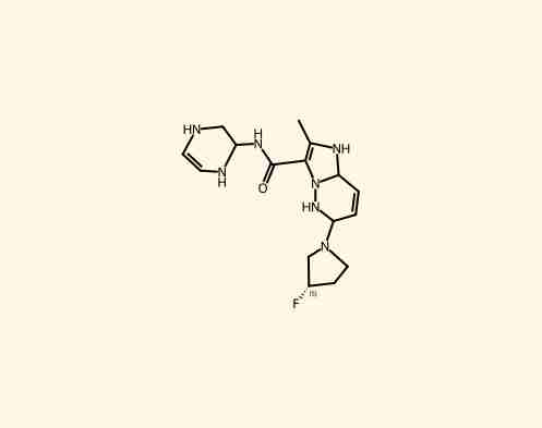 CC1=C(C(=O)NC2CNC=CN2)N2NC(N3CC[C@H](F)C3)C=CC2N1